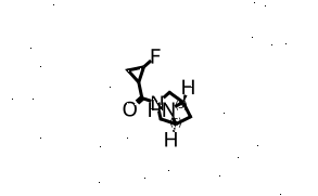 O=C(C1CC1F)N1C[C@@H]2C[C@@H](C1)N2